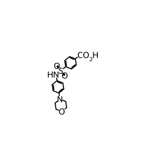 O=C(O)c1ccc(S(=O)(=O)Nc2ccc(N3CCOCC3)cc2)cc1